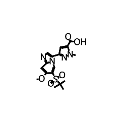 COc1cc2ncc(-c3cc(C(=O)O)n(C)n3)n2cc1S(=O)(=O)C(C)(C)C